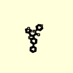 O=C(Nc1ccncc1)c1c(-c2ccoc2)sc2cc(-c3ccccc3)ccc12